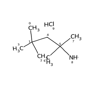 CC(C)(C)CC(C)(C)[NH].Cl